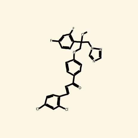 COC(COc1ccc(C(=O)C=Cc2ccc(Cl)cc2Cl)cc1)(Cn1cncn1)c1ccc(F)cc1F